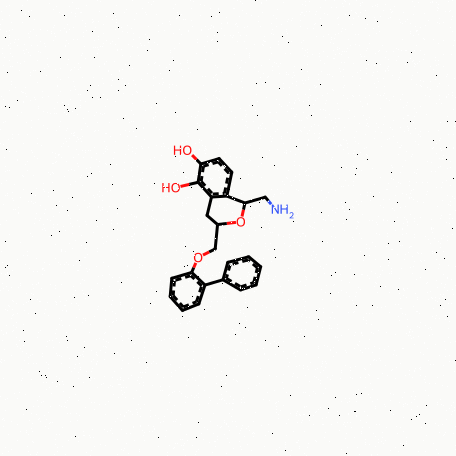 NCC1OC(COc2ccccc2-c2ccccc2)Cc2c1ccc(O)c2O